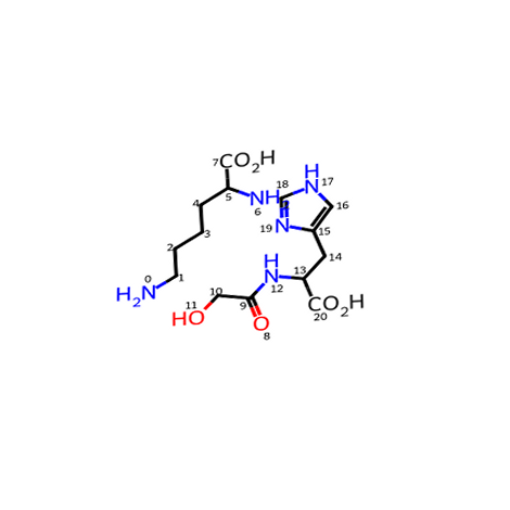 NCCCCC(N)C(=O)O.O=C(CO)NC(Cc1c[nH]cn1)C(=O)O